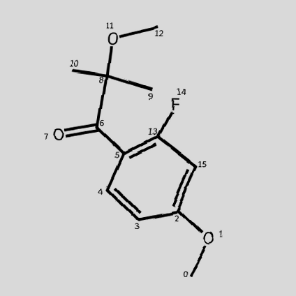 COc1ccc(C(=O)C(C)(C)OC)c(F)c1